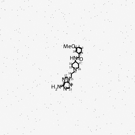 COc1cccc(C(=O)NC2CCN(CCCn3cnc4c(N)ncnc43)CC2)c1